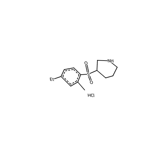 CCc1ccc(S(=O)(=O)C2CCCNC2)c(C)c1.Cl